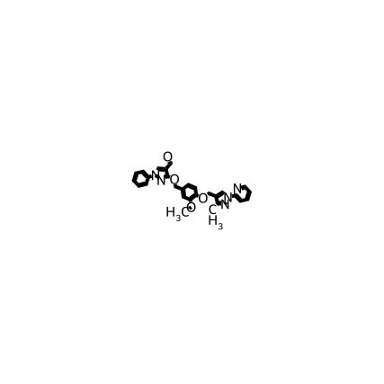 COc1cc(COc2nn(-c3ccccc3)cc2C=O)ccc1OCc1cn(-c2ccccn2)nc1C